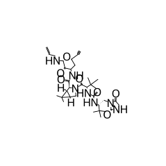 C#CCCC(NC(=O)[C@@H]1[C@@H]2[C@H](CN1C(=O)[C@@H](NC(=O)N[C@H](CN1C(=O)CNC1=O)C(C)(C)C)C(C)(C)C)C2(C)C)C(=O)C(=O)NCC=C